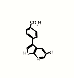 O=C(O)c1ccc(-c2c[nH]c3ncc(Cl)cc23)cc1